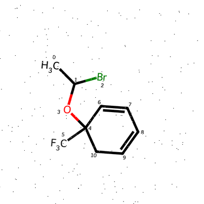 CC(Br)OC1(C(F)(F)F)C=CC=CC1